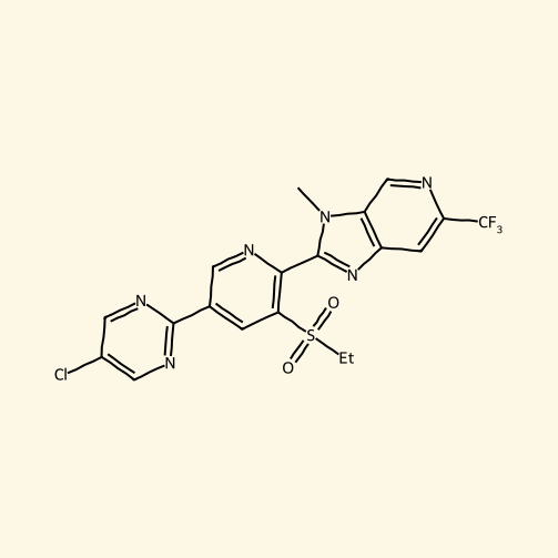 CCS(=O)(=O)c1cc(-c2ncc(Cl)cn2)cnc1-c1nc2cc(C(F)(F)F)ncc2n1C